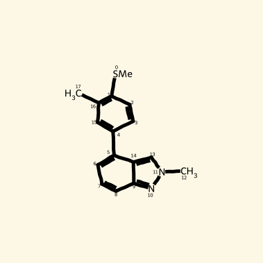 CSc1ccc(-c2cccc3nn(C)cc23)cc1C